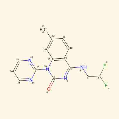 O=c1nc(NCC(F)F)c2ccc(C(F)(F)F)cc2n1-c1ncccn1